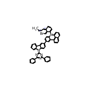 C/C=C\C=c1\cccc(N2c3ccc(-c4ccc5c(c4)c4ccccc4n5-c4nc(-c5ccccc5)nc(-c5ccccc5)n4)cc3-c3cccc4cccc2c34)c1=CBr